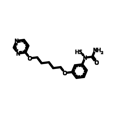 NC(=O)N(S)c1cccc(OCCCCCOc2ccncn2)c1